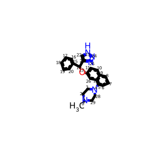 CN1CCN(c2cccc3ccc(OC(c4ccccc4)c4c[nH]nn4)cc23)CC1